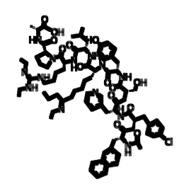 CCC/C(CCCCC[C@@H](NC(=O)[C@H](Cc1ccc(O)cc1)NC(=O)[C@H](CO)CC(=O)[C@@H](Cc1cccnc1)NC(=O)[C@H](CC(=O)[C@@H](Cc1ccc2ccccc2c1)NC(C)=O)Cc1ccc(Cl)cc1)C(=O)N[C@@H](CC(C)C)C(=O)N[C@@H](CCCCN/C(=N\CC)NCC)C(=O)N1CCC[C@H]1C(=O)N[C@H](C)C(=O)O)=N\CC